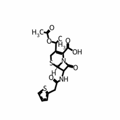 CC(=O)OC(C)C1=C(C(=O)O)N2C(=O)C(NC(=O)Cc3cccs3)[C@H]2SC1